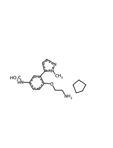 C1CCCC1.Cn1nccc1-c1cc(NC(=O)O)ccc1OCCN